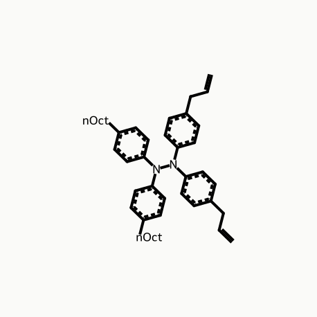 C=CCc1ccc(N(c2ccc(CC=C)cc2)N(c2ccc(CCCCCCCC)cc2)c2ccc(CCCCCCCC)cc2)cc1